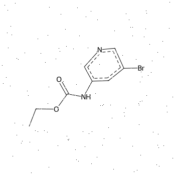 CCOC(=O)Nc1cncc(Br)c1